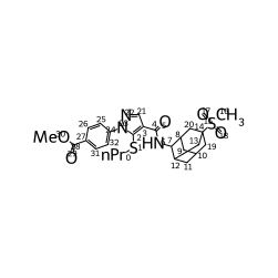 CCCSc1c(C(=O)NC2C3CC4CC2CC(S(C)(=O)=O)(C4)C3)cnn1-c1ccc(C(=O)OC)cc1